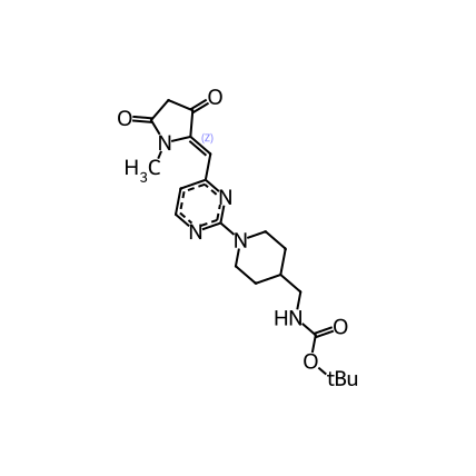 CN1C(=O)CC(=O)/C1=C/c1ccnc(N2CCC(CNC(=O)OC(C)(C)C)CC2)n1